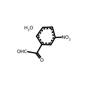 O.O=CC(=O)c1cccc([N+](=O)[O-])c1